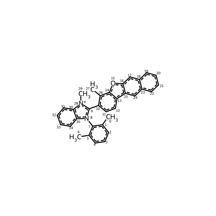 Cc1cccc(C)c1-n1c(-c2ccc3c(oc4cc5ccccc5cc43)c2C)[n+](C)c2ccccc21